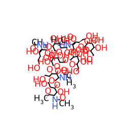 CC(=O)N/C(=C(\O)[C@H](O)CCO)[C@@H](O)OC1C(O)[C@H](O)C(CO)O[C@@H]1OC1C(O)[C@H](O[C@@H]2C(CO)O[C@@H](O[C@@H]3C(CO)O[C@@H](C)C(NC(C)=O)C3O)C(NC(C)=O)C2O)OC(CO[C@H]2OC(CO)[C@@H](O)C(O)C2O[C@H](O)/C(NC(C)=O)=C(/O)[C@@H](CCO)O[C@@H]2OC(CO)[C@H](O)C(O)C2O)[C@H]1O